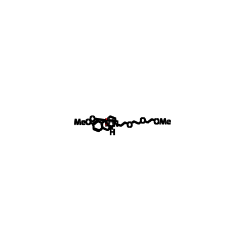 COCCOCCOCCN1CC[C@]23CC(=O)CC[C@H]2[C@H]1Cc1ccc(OC)cc13